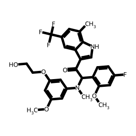 COc1cc(OCCO)cc(N(C)C(C(=O)c2c[nH]c3c(C)cc(C(F)(F)F)cc23)c2ccc(F)cc2OC)c1